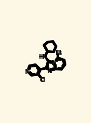 CCc1cccc2nc(-c3ccncc3Cl)c(NC3CCCCC3)n12